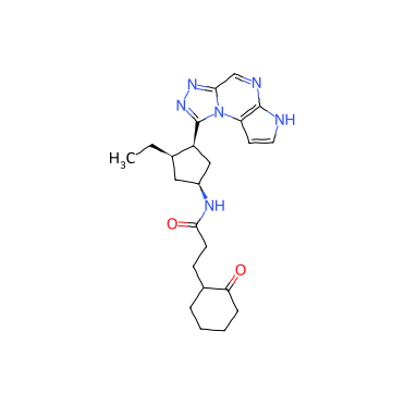 CC[C@@H]1C[C@H](NC(=O)CCC2CCCCC2=O)C[C@@H]1c1nnc2cnc3[nH]ccc3n12